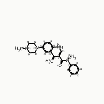 C=C1C(C(=O)N(N)c2ccccc2)=CNc2ccc(N3CCN(C)CC3)cc21